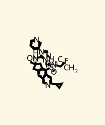 CC(C)(F)CNS(=O)(=O)c1c2c(cc3cnc(C4CC4)cc13)CC(CO)(Nc1nncn1-c1cccnc1)C2